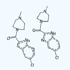 CN1CCN(C(=O)c2cc3cc(Cl)ccc3[nH]2)CC1.CN1CCN(C(=O)c2nc3cc(Cl)ccc3[nH]2)CC1